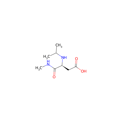 CNC(=O)[C@H](CC(=O)O)NC(C)C